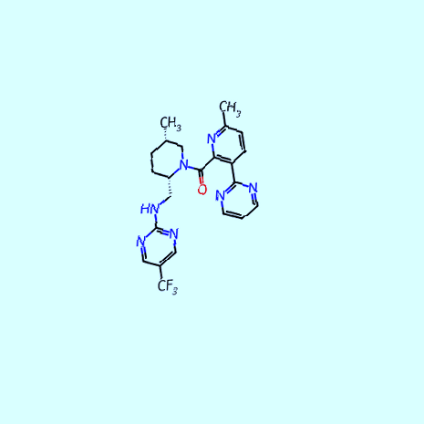 Cc1ccc(-c2ncccn2)c(C(=O)N2C[C@@H](C)CC[C@H]2CNc2ncc(C(F)(F)F)cn2)n1